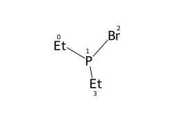 CCP(Br)CC